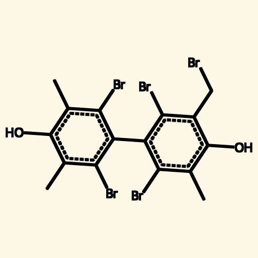 Cc1c(O)c(C)c(Br)c(-c2c(Br)c(C)c(O)c(CBr)c2Br)c1Br